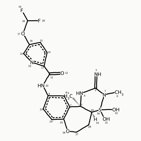 CN1C(=N)N[C@]2(C)c3cc(NC(=O)c4ccc(OC(F)F)cn4)ccc3OCC[C@@H]2S1(O)O